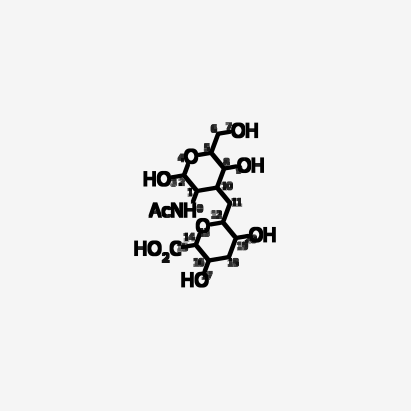 CC(=O)NC1C(O)OC(CO)C(O)C1CC1OC(C(=O)O)C(O)CC1O